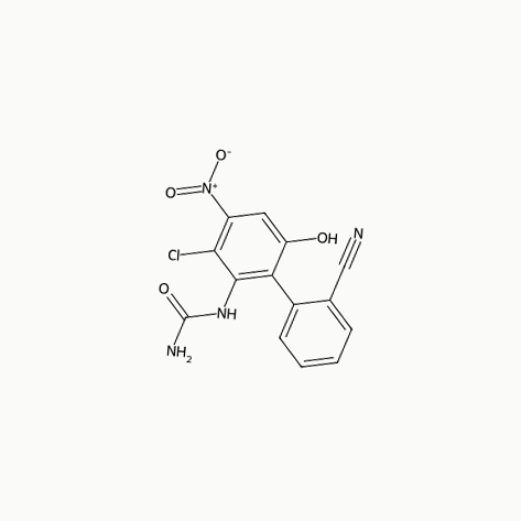 N#Cc1ccccc1-c1c(O)cc([N+](=O)[O-])c(Cl)c1NC(N)=O